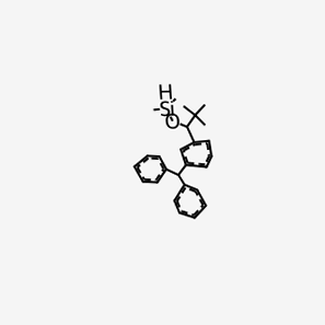 C[SiH](C)OC(c1cccc(C(c2ccccc2)c2ccccc2)c1)C(C)(C)C